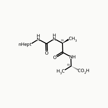 CCCCCCCNC(=O)N[C@@H](C)C(=O)N[C@@H](C)C(=O)O